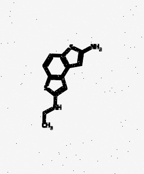 CCNc1cc2c(ccc3sc(N)cc32)s1